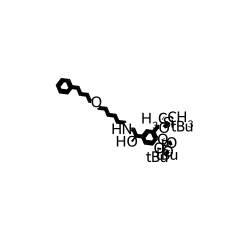 CC(C)(C)OP(=O)(Oc1ccc([C@@H](O)CNCCCCCCOCCCCc2ccccc2)cc1CO[Si](C)(C)C(C)(C)C)OC(C)(C)C